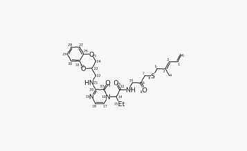 C=C/C=C(\C)CSCC(=O)CNC(=O)C(CC)n1ccnc(NCC2COc3ccccc3O2)c1=O